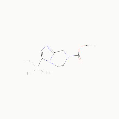 CCC[CH2][Sn]([CH2]CCC)([CH2]CCC)[c]1cnc2n1CCN(C(=O)OC(C)(C)C)C2